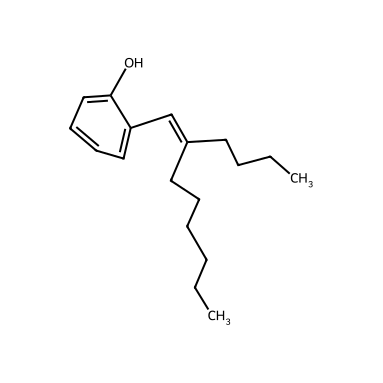 CCCCCCC(=Cc1ccccc1O)CCCC